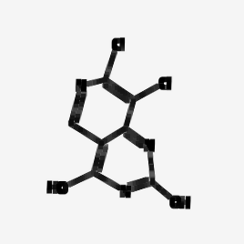 Oc1nc(O)c2cnc(Cl)c(Cl)c2n1